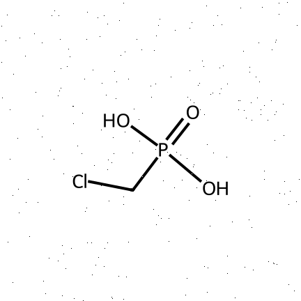 O=P(O)(O)CCl